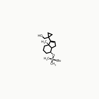 CC(C)(C)[Si](C)(C)O[C@H]1CCC[C@]2(C)C(C3(CO)CC3)=CCC12